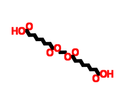 O=C(O)CCCCCCC(=O)OCCOC(=O)CCCCCCC(=O)O